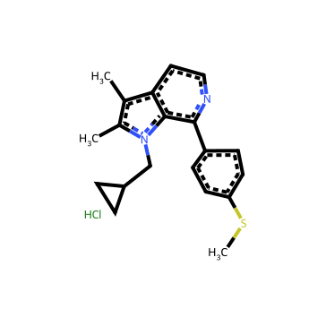 CSc1ccc(-c2nccc3c(C)c(C)n(CC4CC4)c23)cc1.Cl